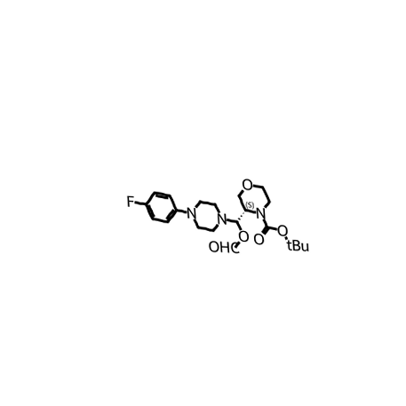 CC(C)(C)OC(=O)N1CCOC[C@H]1C(OC=O)N1CCN(c2ccc(F)cc2)CC1